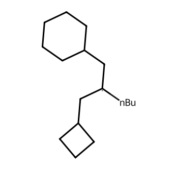 CCCC[C](CC1CCCCC1)CC1CCC1